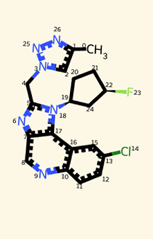 Cc1cn(Cc2nc3cnc4ccc(Cl)cc4c3n2[C@H]2CC[C@@H](F)C2)nn1